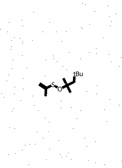 C=C(C)SOC(C)(C)CC(C)(C)C